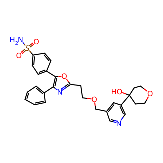 NS(=O)(=O)c1ccc(-c2oc(CCOCc3cncc(C4(O)CCOCC4)c3)nc2-c2ccccc2)cc1